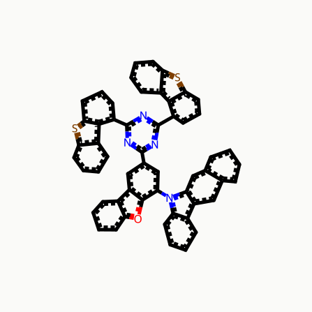 c1ccc2cc3c(cc2c1)c1ccccc1n3-c1cc(-c2nc(-c3cccc4sc5ccccc5c34)nc(-c3cccc4sc5ccccc5c34)n2)cc2c1oc1ccccc12